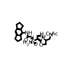 CC(=O)N(C)CC1COc2c(S(N)(=O)=NC(=O)Nc3c4c(cc5c3CCC5)CCC4)cnn21